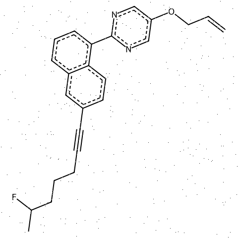 C=CCOc1cnc(-c2cccc3cc(C#CCCCC(C)F)ccc23)nc1